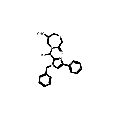 CC(C)(C)C(c1nc(-c2ccccc2)cn1Cc1ccccc1)N1CC(C=O)COCC1=O